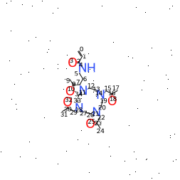 C=CC(=O)NCCC(C(C)=O)N1CCN(CC(C)=O)CCN(CC(C)=O)CCN(CC(C)=O)CC1